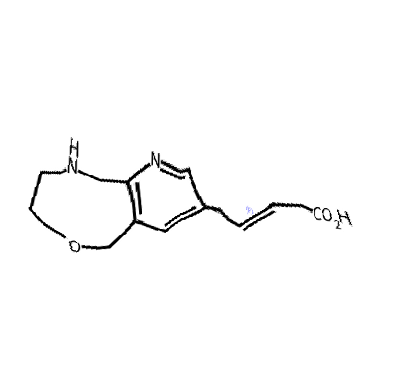 O=C(O)/C=C/c1cnc2c(c1)COCCN2